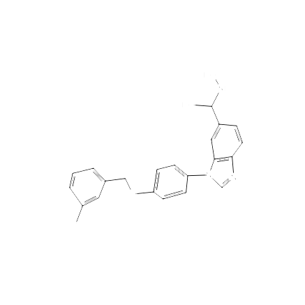 Cc1cccc(COc2ccc(-n3cnc4ccc(C(O)NO)cc43)cc2)c1